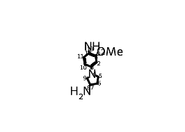 COc1cc(N2CCC(N)C2)ccc1N